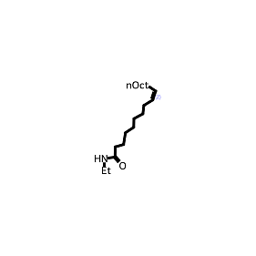 CCCCCCCC/C=C\CCCCCCCC(=O)NCC